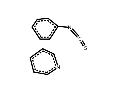 S=C=Nc1ccccc1.c1ccncc1